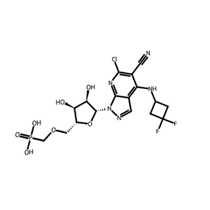 N#Cc1c(Cl)nc2c(cnn2[C@@H]2O[C@H](COCP(=O)(O)O)[C@@H](O)[C@H]2O)c1NC1CC(F)(F)C1